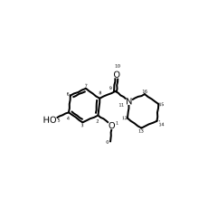 COc1cc(O)ccc1C(=O)N1CC[CH]CC1